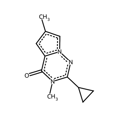 Cc1cc2c(=O)n(C)c(C3CC3)nn2c1